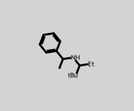 CCC(NC(C)c1ccccc1)C(C)(C)C